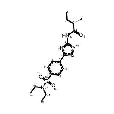 CC[C@H](C)C(=O)Nc1nc(-c2ccc(S(=O)(=O)N(CC)CC)cc2)cs1